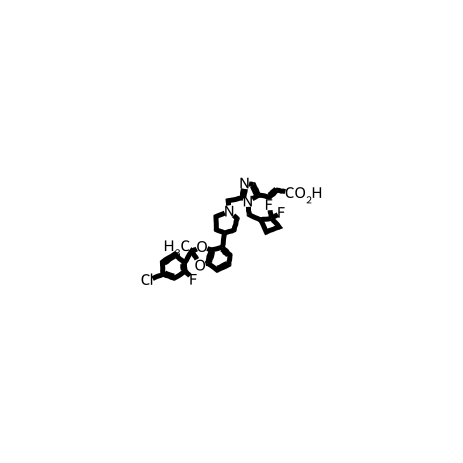 CC1(c2ccc(Cl)cc2F)Oc2cccc(C3CCN(Cc4ncc(/C=C/C(=O)O)n4CC4CCC4(F)F)CC3)c2O1